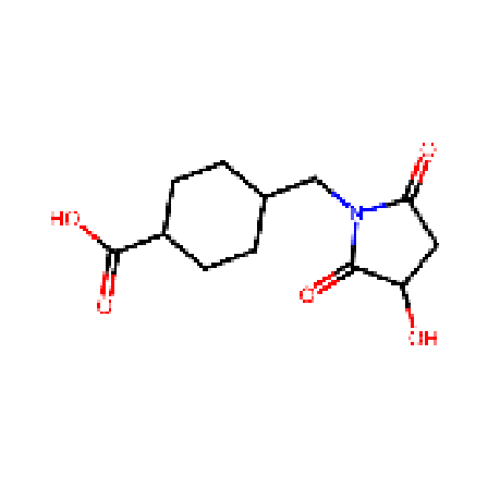 O=C(O)C1CCC(CN2C(=O)CC(O)C2=O)CC1